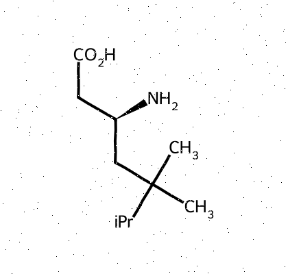 CC(C)C(C)(C)C[C@H](N)CC(=O)O